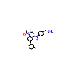 CC(=O)N1c2ccc(-c3cccc(C)c3)cc2[C@H](Nc2ccc(CN)cc2)C[C@@H]1C